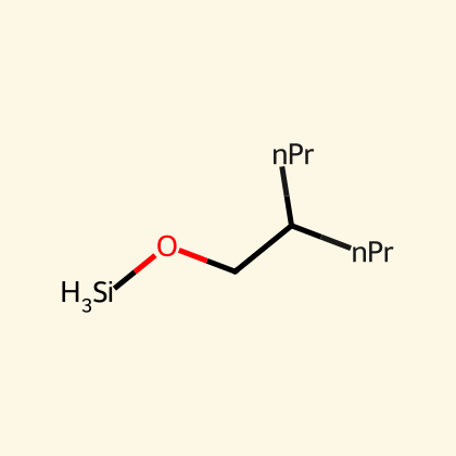 CCCC(CCC)CO[SiH3]